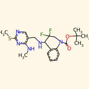 CNc1nc(SC)ncc1CNC1c2ccccc2N(C(=O)OC(C)(C)C)CC1(F)F